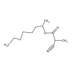 CCCCCCC(C)OC(=O)C(C)C#N